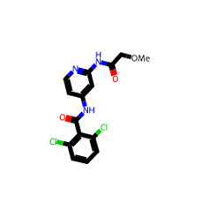 COCC(=O)Nc1cc(NC(=O)c2c(Cl)cccc2Cl)ccn1